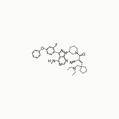 CCN(CC)CC1(C=C(C#N)C(=O)N2CCC[C@H](n3nc(-c4ccc(Oc5ccccc5)cc4F)c4c(N)ncnc43)C2)CCCC1